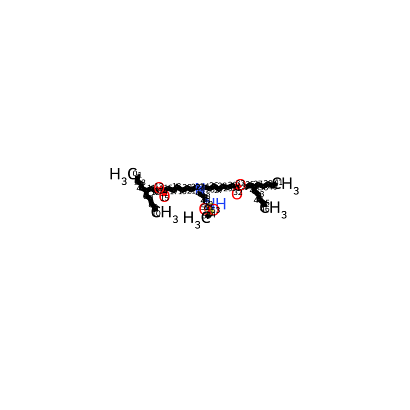 CCCCCC(CCCCC)CCOC(=O)CCCCCCCN(CCCCCCCC(=O)OCCC(CCCCC)CCCCC)CCCNS(=O)(=O)CC